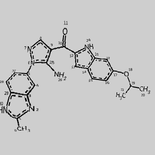 Cc1nc2cc(-n3ncc(C(=O)c4cc5ccc(OC(C)C)cc5[nH]4)c3N)ccc2[nH]1